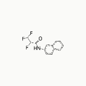 O=C(Nc1ccc2ccccc2c1)C(F)C(F)F